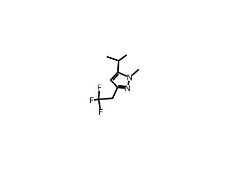 CC(C)c1cc(CC(F)(F)F)nn1C